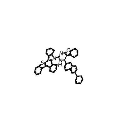 c1ccc(-c2ccc3cc(C4NC(n5c6ccccc6c6c7sc8ccccc8c7c7ccccc7c65)=Nc5oc6ccccc6c54)ccc3c2)cc1